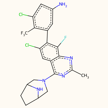 Cc1nc(N2CC3CCC(C2)N3)c2cc(Cl)c(-c3cc(N)cc(Cl)c3C(F)(F)F)c(F)c2n1